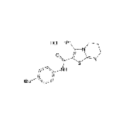 CCCC1=C(C(=O)Nc2ccc(C(C)(C)C)cc2)SC2=NCCCN21.Cl